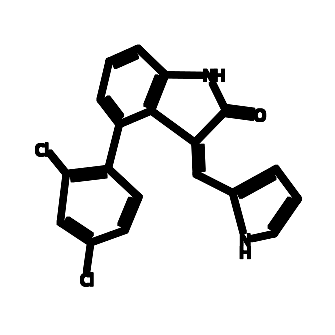 O=C1Nc2cccc(-c3ccc(Cl)cc3Cl)c2C1=Cc1ccc[nH]1